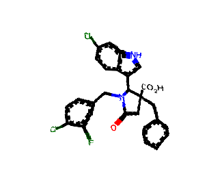 O=C1CC(Cc2ccccc2)(C(=O)O)C(c2c[nH]c3cc(Cl)ccc23)N1Cc1ccc(Cl)c(F)c1